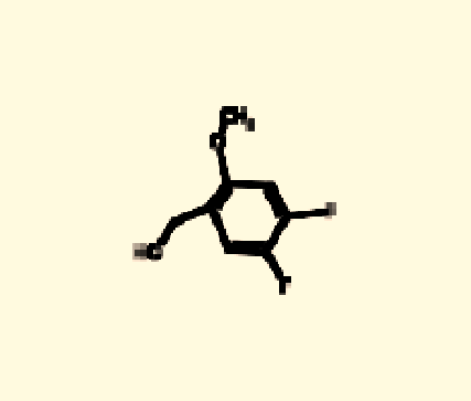 COc1cc(F)c(F)cc1CO